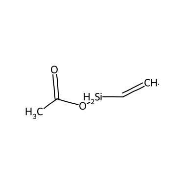 [CH]=C[SiH2]OC(C)=O